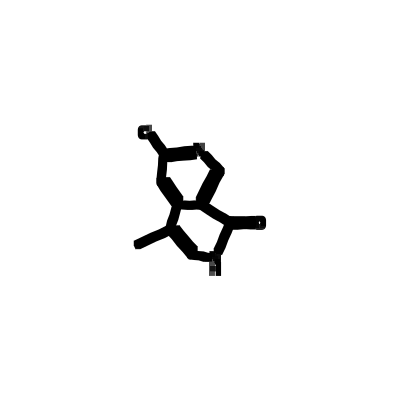 Cc1c[nH]c(=O)c2cnc(Cl)cc12